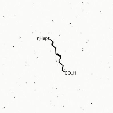 CCCCCCC/C=C/C/C=C/CCCC(=O)O